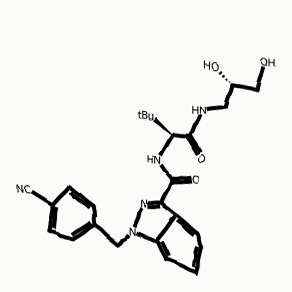 CC(C)(C)[C@H](NC(=O)c1nn(Cc2ccc(C#N)cc2)c2ccccc12)C(=O)NC[C@H](O)CO